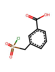 O=C(O)c1cccc(CS(=O)(=O)Cl)c1